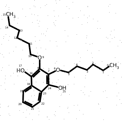 CCCCCCOc1c(OCCCCCC)c(O)c2ccccc2c1O